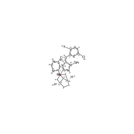 Cc1cc(N2C[C@H]3CC[C@@H](C2)C3Nc2nc(Oc3cc(Cl)ccc3F)n(C(C)C)n2)ncn1